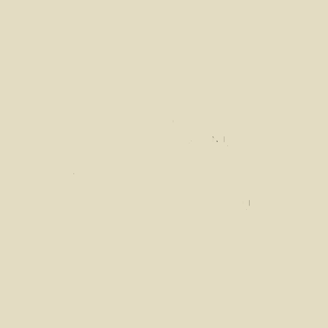 NC(=O)C(CCC(=O)O)c1ccc(Cl)cc1